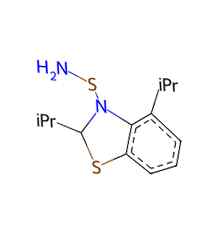 CC(C)c1cccc2c1N(SN)C(C(C)C)S2